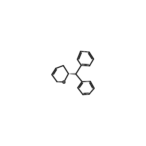 C1=CC[C@H](C(c2ccccc2)c2ccccc2)OC1